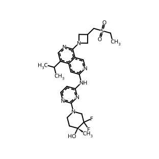 CCS(=O)(=O)CC1CN(c2ncc(C(C)C)c3cc(Nc4ccnc(N5CC[C@@](C)(O)C(F)(F)C5)n4)ncc23)C1